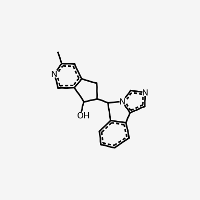 Cc1cc2c(cn1)C(O)C(C1c3ccccc3-c3cncn31)C2